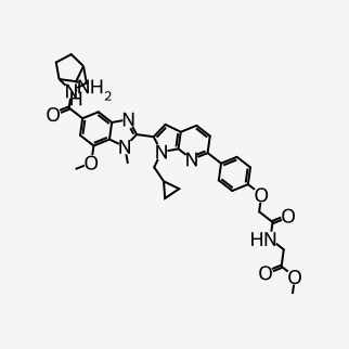 COC(=O)CNC(=O)COc1ccc(-c2ccc3cc(-c4nc5cc(C(=O)N6CC7CCC6[C@@H]7N)cc(OC)c5n4C)n(CC4CC4)c3n2)cc1